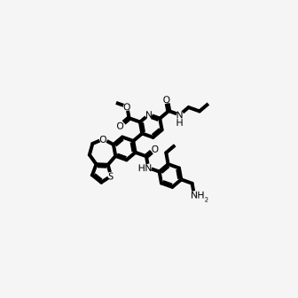 CCCNC(=O)c1ccc(-c2cc3c(cc2C(=O)Nc2ccc(CN)cc2CC)-c2sccc2CCO3)c(C(=O)OC)n1